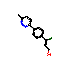 Cc1ccc(-c2ccc(C(F)=CCO)cc2)nn1